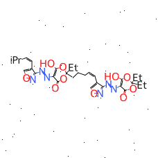 CCC1(CC)OC(=O)C(N=Nc2nocc2/C=C\CCCC2(CC)OC(=O)C(N=Nc3nocc3/C=C\C(C)C)=C(O)O2)=C(O)O1